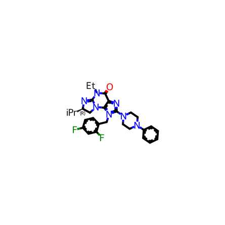 CCN1C(=O)c2nc(N3CCN(c4ccccc4)CC3)n(Cc3ccc(F)cc3F)c2N2C[C@@H](C(C)C)N=C12